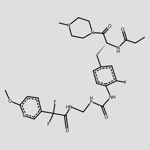 CCC(=O)N[C@H](Cc1ccc(NC(=O)PCNC(=O)C(F)(F)c2ccc(OC)nc2)c(F)c1)C(=O)N1CCN(C)CC1